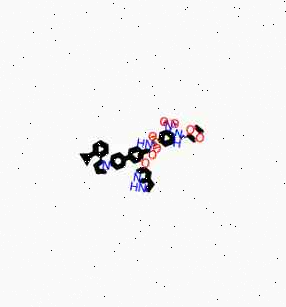 O=C(NS(=O)(=O)c1ccc(NC[C@H]2COCCO2)c([N+](=O)[O-])c1)c1ccc(C2CCC(N3CCC[C@H]3c3ccccc3C3CC3)CC2)cc1Oc1cnc2[nH]ccc2c1